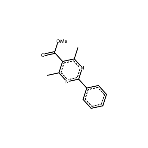 COC(=O)c1c(C)nc(-c2ccccc2)nc1C